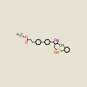 CCOC(=O)CCc1ccc(-c2ccc(-c3onc(C)c3C[C@@H](O)SCc3ccccc3)cc2)cc1